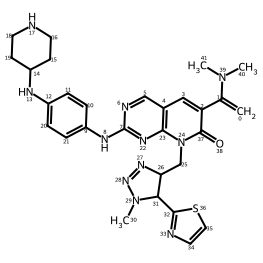 C=C(c1cc2cnc(Nc3ccc(NC4CCNCC4)cc3)nc2n(CC2N=NN(C)C2c2nccs2)c1=O)N(C)C